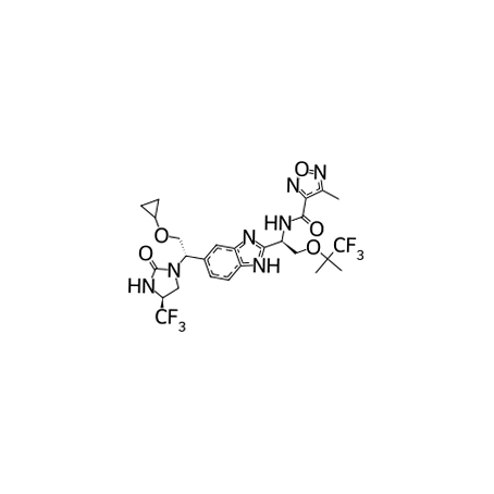 Cc1nonc1C(=O)N[C@@H](COC(C)(C)C(F)(F)F)c1nc2cc([C@@H](COC3CC3)N3C[C@@H](C(F)(F)F)NC3=O)ccc2[nH]1